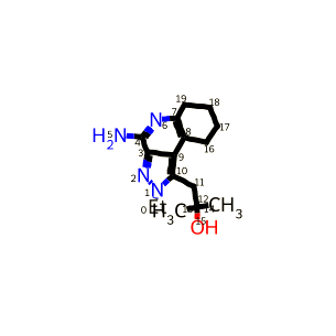 CCn1nc2c(N)nc3c(c2c1CC(C)(C)O)CCCC3